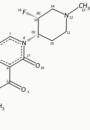 COC(=O)c1cccn([C@H]2CCN(C)C[C@H]2F)c1=O